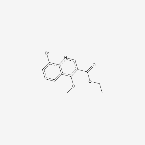 CCOC(=O)c1cnc2c(Br)cccc2c1OC